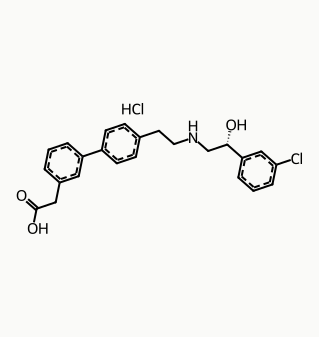 Cl.O=C(O)Cc1cccc(-c2ccc(CCNC[C@H](O)c3cccc(Cl)c3)cc2)c1